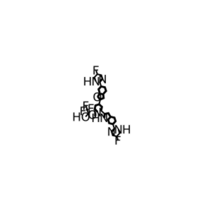 FC1CN=C(c2ccc3cc(-c4cc(-c5cc6ccc(C7=NCC(F)CN7)cc6o5)ccn4)[nH]c3c2)NC1.O=C(O)C(F)(F)F